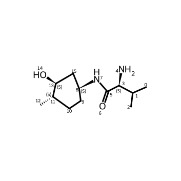 CC(C)[C@H](N)C(=O)N[C@H]1CC[C@H](C)[C@@H](O)C1